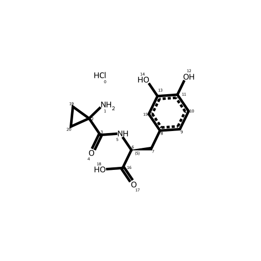 Cl.NC1(C(=O)N[C@@H](Cc2ccc(O)c(O)c2)C(=O)O)CC1